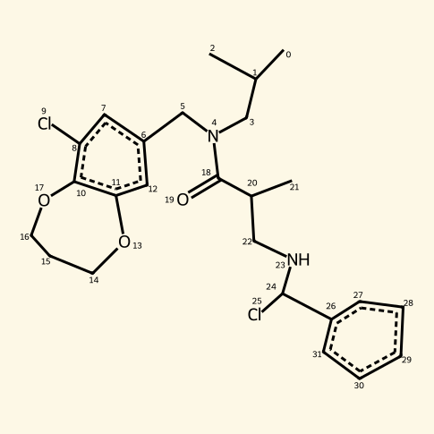 CC(C)CN(Cc1cc(Cl)c2c(c1)OCCCO2)C(=O)C(C)CNC(Cl)c1ccccc1